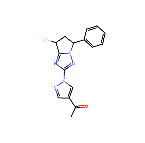 BC1CC(c2ccccc2)n2nc(-n3cc(C(C)=O)cn3)nc21